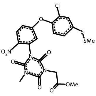 COC(=O)Cn1c(=O)n(C)c(=O)n(-c2cc(Oc3ccc(SSC)cc3Cl)ccc2[N+](=O)[O-])c1=O